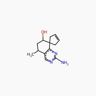 CC1CC(O)C2(CC=CC2)c2nc(N)ncc21